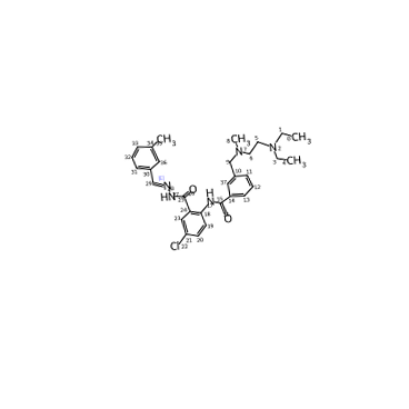 CCN(CC)CCN(C)Cc1cccc(C(=O)Nc2ccc(Cl)cc2C(=O)N/N=C/c2cccc(C)c2)c1